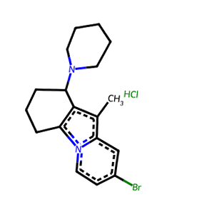 Cc1c2c(n3ccc(Br)cc13)CCCC2N1CCCCC1.Cl